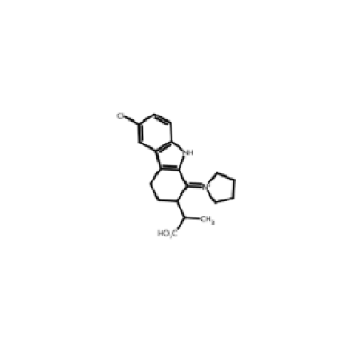 CC(C(=O)O)C1CCc2c([nH]c3ccc(Cl)cc23)C1=[N+]1CCCC1